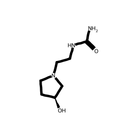 NC(=O)NCCN1CC[C@H](O)C1